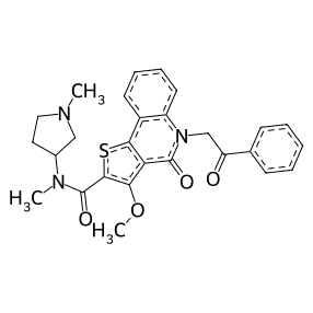 COc1c(C(=O)N(C)C2CCN(C)C2)sc2c1c(=O)n(CC(=O)c1ccccc1)c1ccccc21